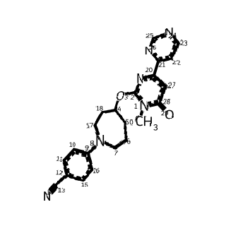 Cn1c(OC2CCCN(c3ccc(C#N)cc3)CC2)nc(-c2ccncn2)cc1=O